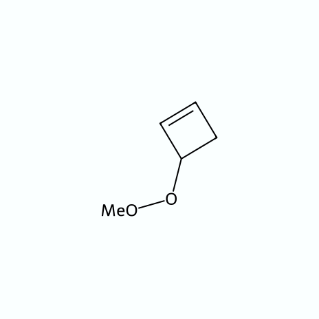 COOC1C=CC1